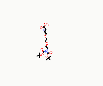 CC(C)(C)OC(=O)N(CCOCCOC/C=C/C(=O)O)C(=O)OC(C)(C)C